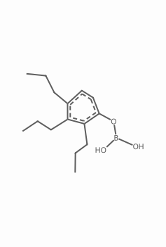 CCCc1ccc(OB(O)O)c(CCC)c1CCC